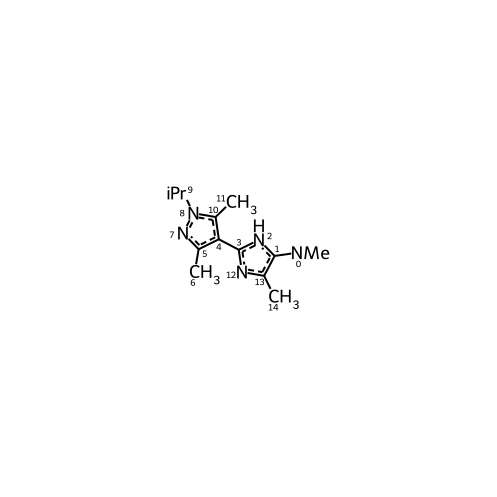 CNc1[nH]c(-c2c(C)nn(C(C)C)c2C)nc1C